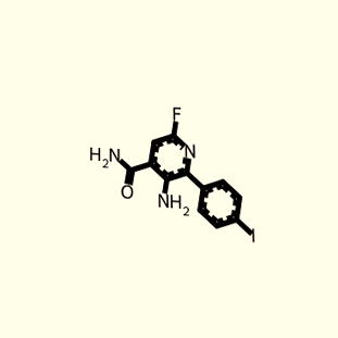 NC(=O)c1cc(F)nc(-c2ccc(I)cc2)c1N